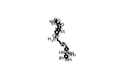 CCc1c2c(nc3ccc(OC(=O)N(C)CCCCN4CCN(Cc5ccc(N(N)C(=N)c6cc(C(C)C)c(O)cc6O)cc5)CC4)cc13)-c1cc3c(c(=O)n1C2)COC(=O)C3(O)CC